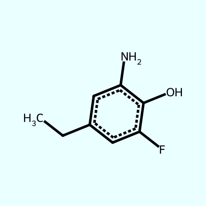 CCc1cc(N)c(O)c(F)c1